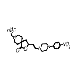 O=C1O[C@H](CCN2CCN(c3ccc([N+](=O)[O-])cc3)CC2)CC12CCN(C[SH](=O)=O)CC2